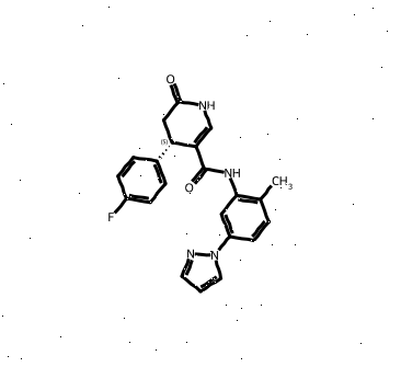 Cc1ccc(-n2cccn2)cc1NC(=O)C1=CNC(=O)C[C@H]1c1ccc(F)cc1